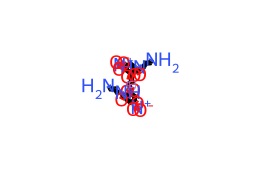 NCCCNC(=O)C1(OC(=O)/C=C/C(=O)OC2(C(=O)NCCCN)CCC(O[N+](=O)[O-])CC2)CCC(O[N+](=O)[O-])CC1